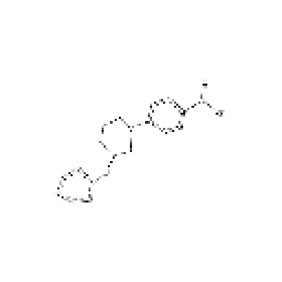 O=[N+]([O-])c1ccc(N2CCCC(Oc3ccccc3)C2)cc1